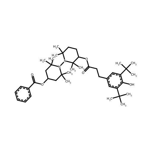 CC(C)(C)c1cc(CCC(=O)OC2CCC(C)(C)N(N3C(C)(C)CC(OC(=O)c4ccccc4)CC3(C)C)C2(C)C)cc(C(C)(C)C)c1O